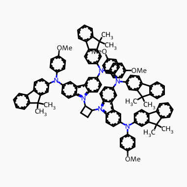 COc1ccc(N(c2ccc3c(c2)C(C)(C)c2ccccc2-3)c2ccc3c(c2)c2cc(N(c4ccc(OC)cc4)c4ccc5c(c4)C(C)(C)c4ccccc4-5)ccc2n3C2CCC2n2c3ccc(N(c4ccc(OC)cc4)c4ccc5c(c4)C(C)(C)c4ccccc4-5)cc3c3cc(N(c4ccc(OC)cc4)c4ccc5c(c4)C(C)(C)c4ccccc4-5)ccc32)cc1